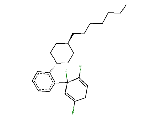 CCCCCCC[C@H]1CC[C@H](c2ccccc2C2(F)C=C(F)CC=C2F)CC1